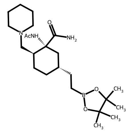 CC(=O)N[C@]1(C(N)=O)C[C@H](CCB2OC(C)(C)C(C)(C)O2)CC[C@H]1CN1CCCCC1